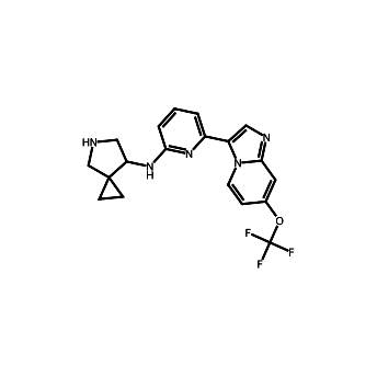 FC(F)(F)Oc1ccn2c(-c3cccc(NC4CNCC45CC5)n3)cnc2c1